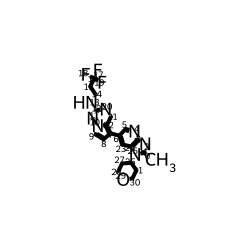 Cc1nc2ncc(-c3ccn4nc(NCCC(F)(F)F)ncc34)cc2n1C1CCOCC1